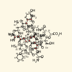 C[C@H](NC(=O)[C@H](Cc1ccc(O)cc1)NC(=O)CNC(=O)[C@H](CCC(=O)O)NC(=O)[C@@H](NC(=O)[C@@H](NC(=O)[C@H](CCCNC(=N)N)NC(=O)[C@H](CS)NC(=O)[C@H](CCC(N)=O)NC(=O)[C@H](Cc1ccccc1)NC(=O)[C@H](CS)NC(=O)[C@H](CCC(N)=O)NC(=O)[C@H](CS)NC(=O)[C@H](CS)NC(=O)[C@@H](N)CC(N)=O)[C@@H](C)O)[C@@H](C)O)C(=O)O